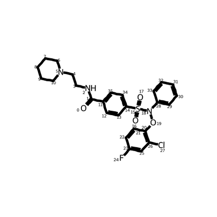 O=C(NCCN1CCCCC1)c1ccc(S(=O)(=O)N(Oc2ccc(F)cc2Cl)c2ccccc2)cc1